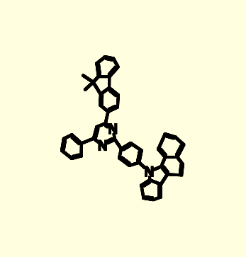 CC1(C)c2ccccc2-c2ccc(-c3cc(-c4ccccc4)nc(-c4ccc(-n5c6ccccc6c6ccc7ccccc7c65)cc4)n3)cc21